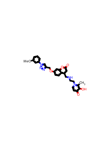 COc1cccc(-n2cc(COc3ccc4c(CNCCn5ccc(=O)c(O)c5C)cc(=O)oc4c3)nn2)c1